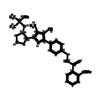 COc1ccccc1C(=O)NCc1ccc(-c2nn([C@H]3COC[C@@H]3O[Si](C)(C)C(C)(C)C)c(N)c2C#N)cc1